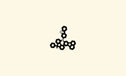 CC1(c2ccccc2)c2ccccc2-c2c(N(c3ccc4c(c3)-c3cccc5cccc-4c35)c3ccc4c(c3)oc3ccccc34)cccc21